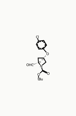 CC(C)(C)OC(=O)N1C[C@@H](Oc2ccc(Cl)cc2)C[C@H]1C=O